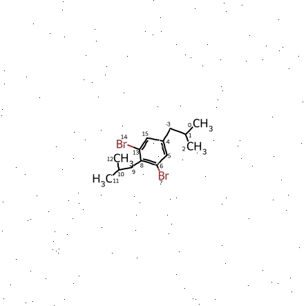 CC(C)Cc1cc(Br)c(CC(C)C)c(Br)c1